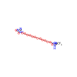 CN1C(=O)C[C@H](C(=O)NCCOCCOCCOCCOCCOCCOCCOCCOCCOCCOCCOCCOCCC(=O)N[C@@H]2CNCc3cc(C(F)(F)F)cnc32)[C@H]1c1cccnc1